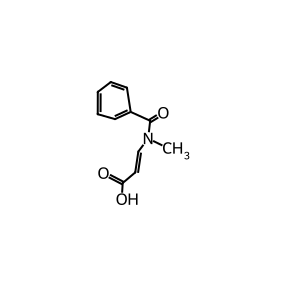 CN(C=CC(=O)O)C(=O)c1ccccc1